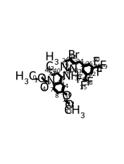 CCOC(=O)N1c2ccc(OCOC)cc2[C@@H](Nc2ncc(Br)c(Cc3cc(C(F)(F)F)cc(C(F)(F)F)c3)n2)C[C@H]1CC